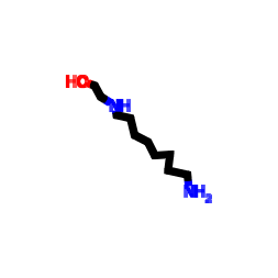 NCCCCCCCCNCCO